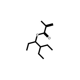 C=C(C)C(=O)OC(CC)C(CC)CC